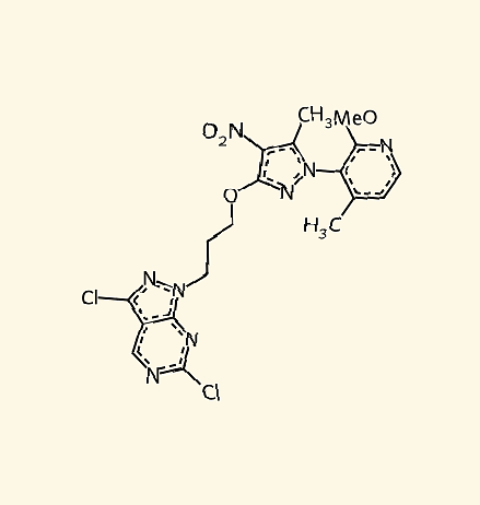 COc1nccc(C)c1-n1nc(OCCCn2nc(Cl)c3cnc(Cl)nc32)c([N+](=O)[O-])c1C